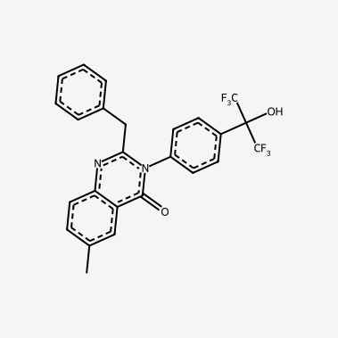 Cc1ccc2nc(Cc3ccccc3)n(-c3ccc(C(O)(C(F)(F)F)C(F)(F)F)cc3)c(=O)c2c1